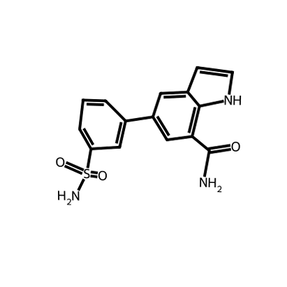 NC(=O)c1cc(-c2cccc(S(N)(=O)=O)c2)cc2cc[nH]c12